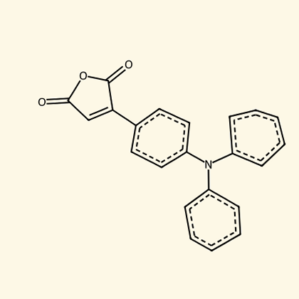 O=C1C=C(c2ccc(N(c3ccccc3)c3ccccc3)cc2)C(=O)O1